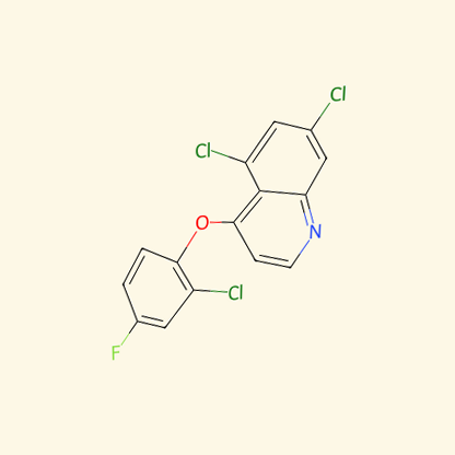 Fc1ccc(Oc2ccnc3cc(Cl)cc(Cl)c23)c(Cl)c1